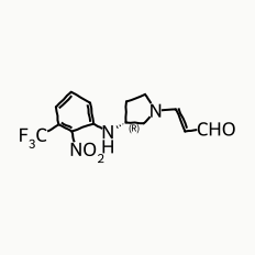 O=CC=CN1CC[C@@H](Nc2cccc(C(F)(F)F)c2[N+](=O)[O-])C1